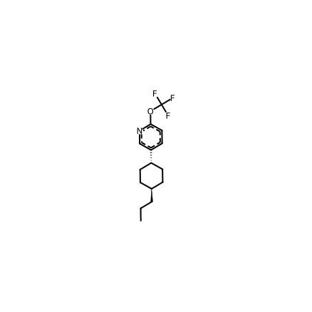 CCC[C@H]1CC[C@H](c2ccc(OC(F)(F)F)nc2)CC1